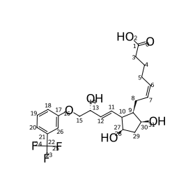 O=C(O)CCC/C=C\C[C@@H]1C(/C=C/[C@@H](O)COc2cccc(C(F)(F)F)c2)[C@H](O)C[C@@H]1O